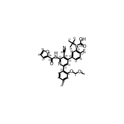 COCOc1cc(F)ccc1-c1cc(-c2ccc(F)c(N(C(=O)O)C(C)(C)C)c2)c(C#N)c(NC(=O)c2ccco2)n1